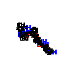 Cc1ccc(-n2nc(C(C)(C)C)cc2NC(=O)Nc2ccc(Oc3ccnc(NC(=O)NCC(=O)CN4CCNCC4)c3)c3ccccc23)cc1